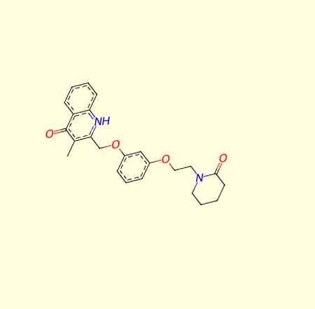 Cc1c(COc2cccc(OCCN3CCCCC3=O)c2)[nH]c2ccccc2c1=O